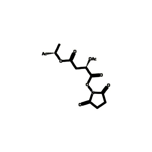 CC(=O)O[C@@H](CC(=O)O[C@@H](C)C(C)=O)C(=O)ON1C(=O)CCC1=O